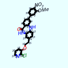 COc1cc(-c2ccc3c(c2)Nc2ccc(CCOc4cccnc4Cl)cc2NC3=O)ccc1[N+](=O)[O-]